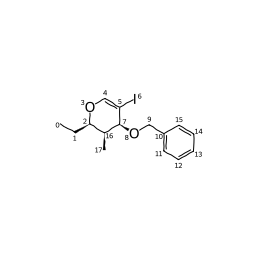 CC[C@H]1OC=C(I)[C@@H](OCc2ccccc2)[C@H]1C